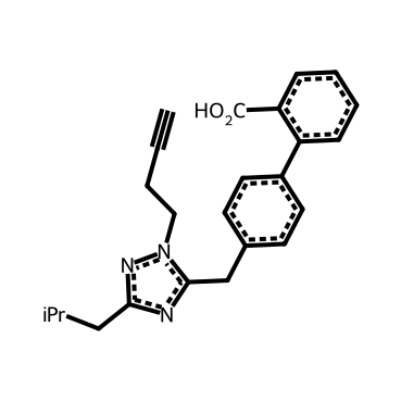 C#CCCn1nc(CC(C)C)nc1Cc1ccc(-c2ccccc2C(=O)O)cc1